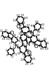 c1ccc(N(c2ccc3oc4ccccc4c3c2)c2cc3c4ccccc4oc3c3c2c2cccc4c5c(N(c6ccccc6)c6ccc7oc8ccccc8c7c6)cc6c7ccccc7oc6c5n3c24)cc1